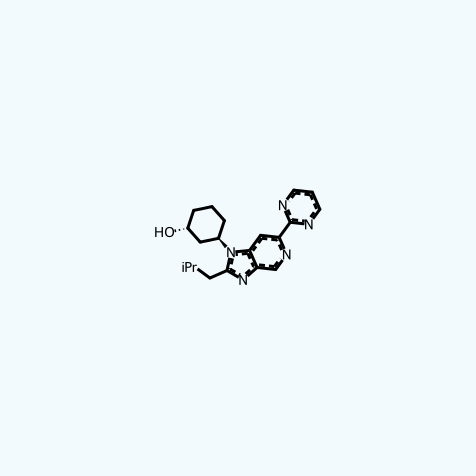 CC(C)Cc1nc2cnc(-c3ncccn3)cc2n1[C@@H]1CCC[C@@H](O)C1